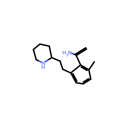 C=C(N)c1c(C)cccc1CCC1CCCCN1